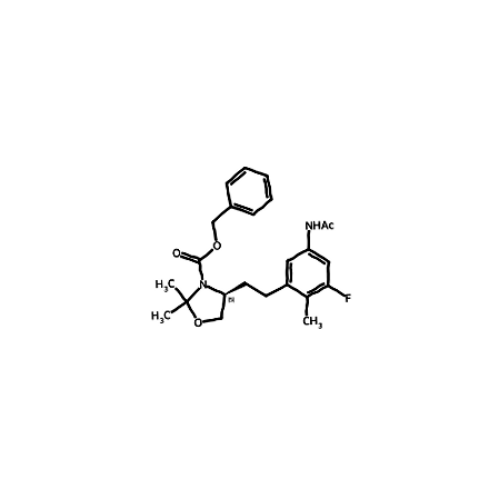 CC(=O)Nc1cc(F)c(C)c(CC[C@H]2COC(C)(C)N2C(=O)OCc2ccccc2)c1